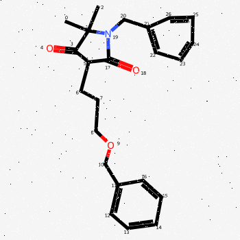 CC1(C)C(=O)C(CCCOCc2ccccc2)C(=O)N1Cc1ccccc1